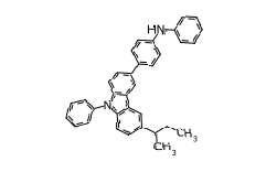 CCC(C)c1ccc2c(c1)c1cc(-c3ccc(Nc4ccccc4)cc3)ccc1n2-c1ccccc1